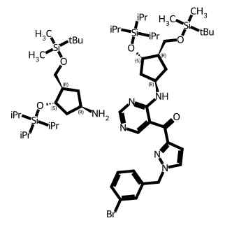 CC(C)[Si](O[C@H]1C[C@H](N)C[C@@H]1CO[Si](C)(C)C(C)(C)C)(C(C)C)C(C)C.CC(C)[Si](O[C@H]1C[C@H](Nc2ncncc2C(=O)c2ccn(Cc3cccc(Br)c3)n2)C[C@@H]1CO[Si](C)(C)C(C)(C)C)(C(C)C)C(C)C